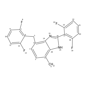 Cc1ccc(Cc2c(F)cccc2F)c2nc(-c3c(F)cccc3F)[nH]c12